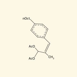 CCCCCCCCc1ccc(C=C(C)C(OC(C)=O)OC(C)=O)cc1